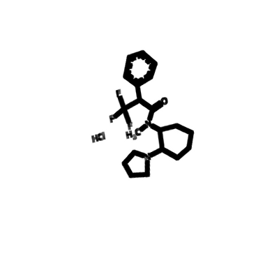 CN(C(=O)C(c1ccccc1)C(F)(F)F)C1CCCCC1N1CCCC1.Cl